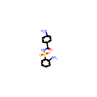 Nc1ccc(C(=O)NS(=O)(=O)c2ccccc2N)cc1